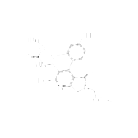 Cc1ccc(-c2c(CNC(=O)OC(C)(C)C)c(C)nc3c2C(=O)N(CC(=O)O)C3)c(Cl)c1